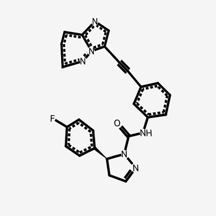 O=C(Nc1cccc(C#Cc2cnc3cccnn23)c1)N1N=CC[C@H]1c1ccc(F)cc1